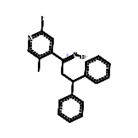 Cc1cnc(F)cc1/C(CC(c1ccccc1)c1ccccc1)=N/O